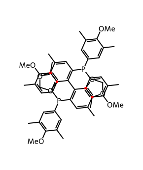 COc1c(C)cc(P(c2cc(C)c(OC)c(C)c2)c2cc(C)c3c(c2-c2c(P(c4cc(C)c(OC)c(C)c4)c4cc(C)c(OC)c(C)c4)cc(C)c4c2OCO4)OCO3)cc1C